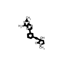 Cc1nc(N)c2nc(-c3cccc(C#C[C@]4(O)CCN(C)C4=O)c3)cnc2n1